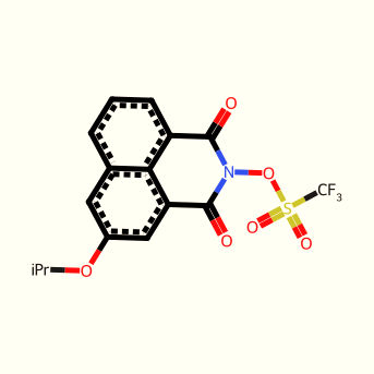 CC(C)Oc1cc2c3c(cccc3c1)C(=O)N(OS(=O)(=O)C(F)(F)F)C2=O